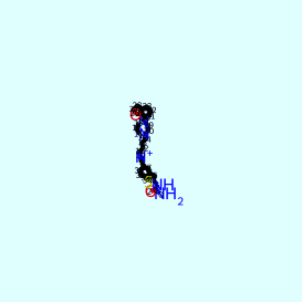 NC(=O)Nc1cc2cc(C#[N+]CCCCN3CCCN(c4cccc5c4OCC5)CC3)ccc2s1